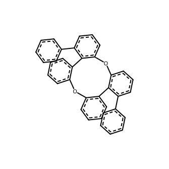 c1ccc(-c2cccc3c2-c2ccccc2Oc2ccccc2-c2c(cccc2-c2ccccc2)O3)cc1